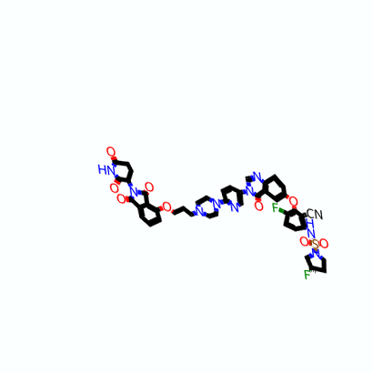 N#Cc1c(NS(=O)(=O)N2CC[C@@H](F)C2)ccc(F)c1Oc1ccc2ncn(-c3ccc(N4CCN(CCCOc5cccc6c5C(=O)N(C5CCC(=O)NC5=O)C6=O)CC4)nc3)c(=O)c2c1